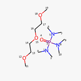 CN(C)P(=O)(N(C)C)N(C)C.COCCOCCOC